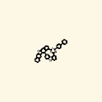 c1ccc(-c2ccc(-c3nc(-c4ccccc4)nc(-c4cccc5oc6ccc(-c7cccc8oc9cc%10ccccc%10cc9c78)cc6c45)n3)cc2)cc1